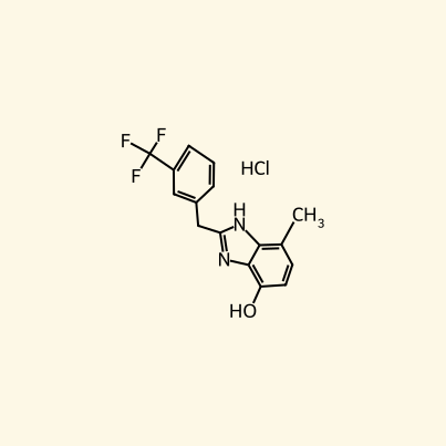 Cc1ccc(O)c2nc(Cc3cccc(C(F)(F)F)c3)[nH]c12.Cl